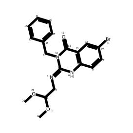 COC(C/N=c1\[nH]c2ccc(Br)cc2c(=O)n1Cc1ccccc1)OC